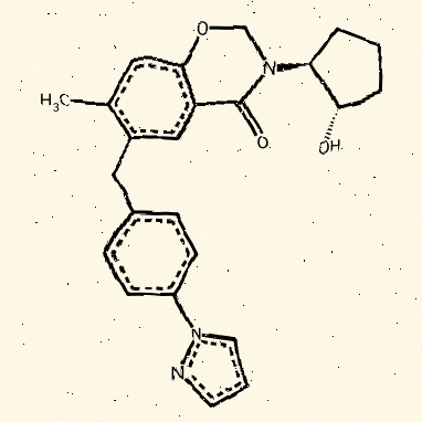 Cc1cc2c(cc1Cc1ccc(-n3cccn3)cc1)C(=O)N([C@H]1CCC[C@@H]1O)CO2